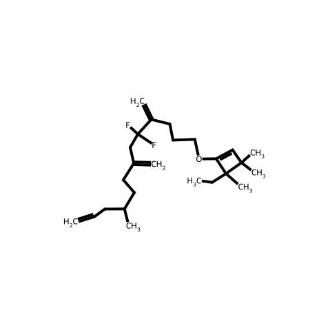 C=CCC(C)CCC(=C)CC(F)(F)C(=C)CCCOC1=CC(C)(C)C1(C)CC